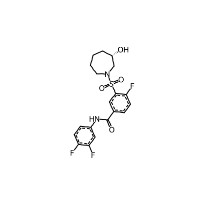 O=C(Nc1ccc(F)c(F)c1)c1ccc(F)c(S(=O)(=O)N2CCCC[C@H](O)C2)c1